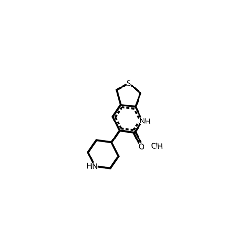 Cl.O=c1[nH]c2c(cc1C1CCNCC1)CSC2